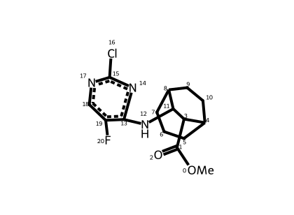 COC(=O)C1C2CCCC(CC2)C1Nc1nc(Cl)ncc1F